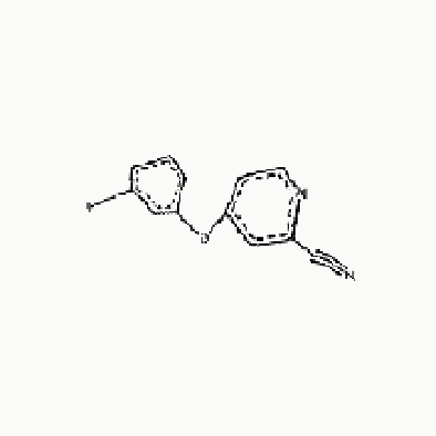 N#Cc1cc(Oc2cccc(I)c2)ccn1